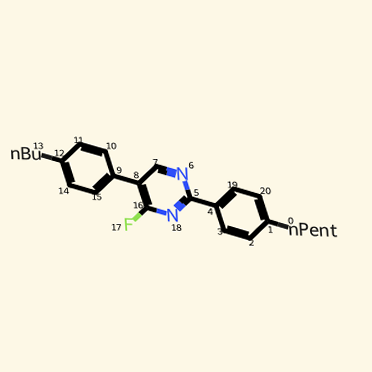 CCCCCc1ccc(-c2ncc(-c3ccc(CCCC)cc3)c(F)n2)cc1